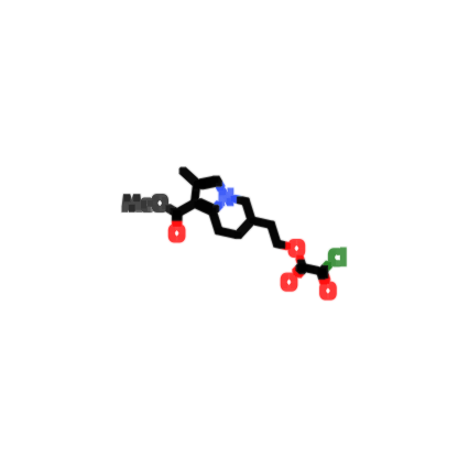 COC(=O)c1c(C)cn2c1CCC(CCOC(=O)C(=O)Cl)C2